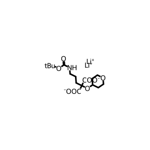 CC(C)(C)OC(=O)NCCCC(OC1CCOCC1)(C(=O)[O-])C(=O)[O-].[Li+].[Li+]